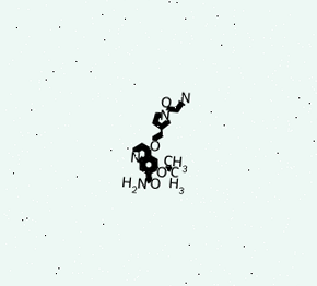 CC(C)Oc1cc2c(OCC[C@H]3CCN(C(=O)CC#N)C3)ccnc2cc1C(N)=O